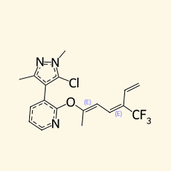 C=C/C(=C\C=C(/C)Oc1ncccc1-c1c(C)nn(C)c1Cl)C(F)(F)F